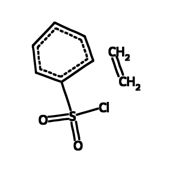 C=C.O=S(=O)(Cl)c1ccccc1